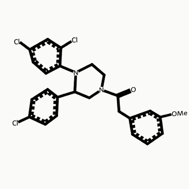 COc1cccc(CC(=O)N2CCN(c3ccc(Cl)cc3Cl)C(c3ccc(Cl)cc3)C2)c1